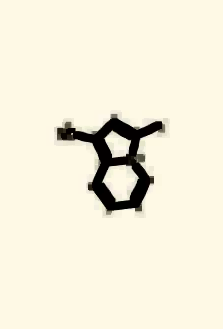 Cc1cc(C#N)c2ccccn12